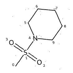 CS(=O)(=O)N1CC[C]CC1